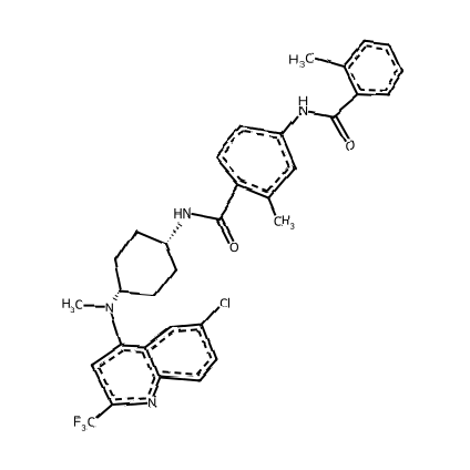 Cc1ccccc1C(=O)Nc1ccc(C(=O)N[C@H]2CC[C@@H](N(C)c3cc(C(F)(F)F)nc4ccc(Cl)cc34)CC2)c(C)c1